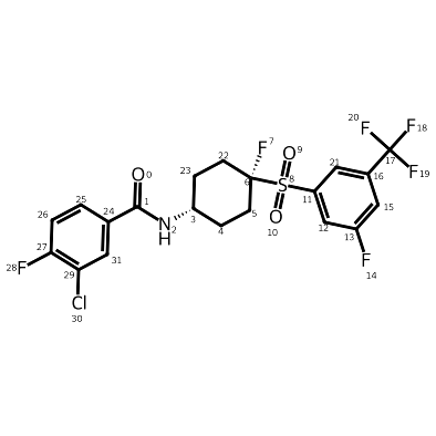 O=C(N[C@H]1CC[C@](F)(S(=O)(=O)c2cc(F)cc(C(F)(F)F)c2)CC1)c1ccc(F)c(Cl)c1